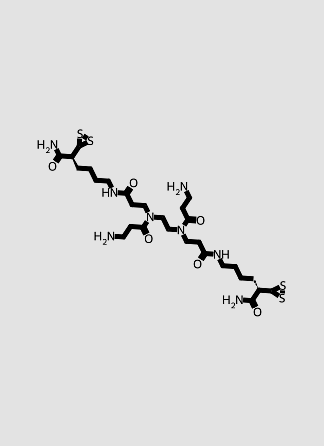 NCCC(=O)N(CCC(=O)NCCCC[C@@H](C(N)=O)C1SS1)CCN(CCC(=O)NCCCC[C@@H](C(N)=O)C1SS1)C(=O)CCN